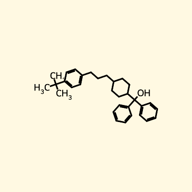 CC(C)(C)c1ccc(CCCC2CCC(C(O)(c3ccccc3)c3ccccc3)CC2)cc1